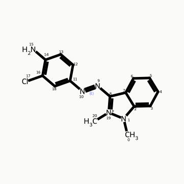 Cn1c2ccccc2c(/N=N/c2ccc(N)c(Cl)c2)[n+]1C